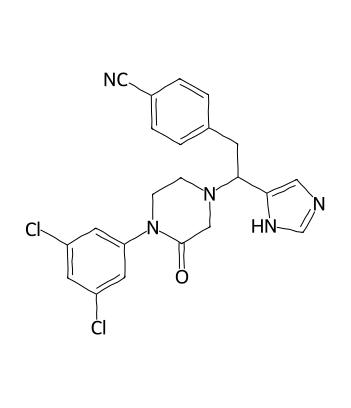 N#Cc1ccc(CC(c2cnc[nH]2)N2CCN(c3cc(Cl)cc(Cl)c3)C(=O)C2)cc1